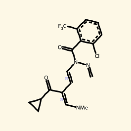 C=NN(/C=C/C(=C\NC)C(=O)C1CC1)C(=O)c1c(Cl)cccc1C(F)(F)F